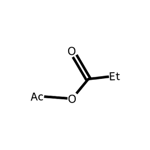 [CH2]CC(=O)OC(C)=O